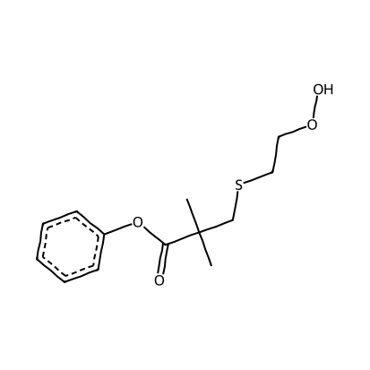 CC(C)(CSCCOO)C(=O)Oc1ccccc1